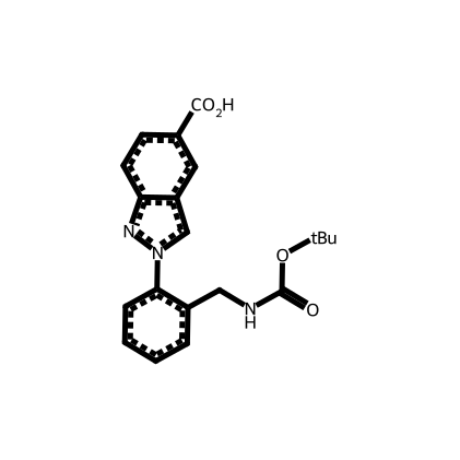 CC(C)(C)OC(=O)NCc1ccccc1-n1cc2cc(C(=O)O)ccc2n1